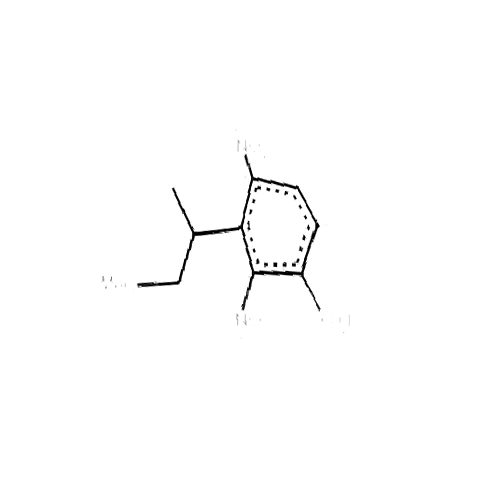 COCC(C)c1c([N+](=O)[O-])ccc(C(=O)O)c1[N+](=O)[O-]